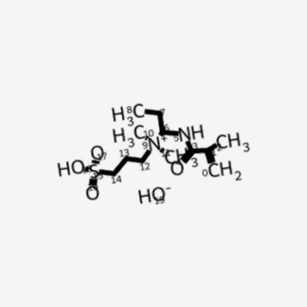 C=C(C)C(=O)NC(CC)[N+](C)(C)CCCS(=O)(=O)O.[OH-]